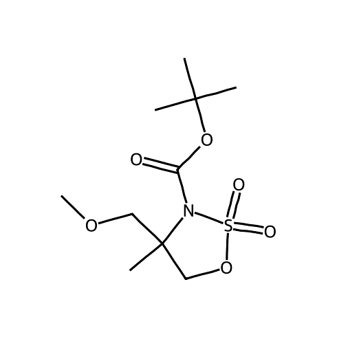 COCC1(C)COS(=O)(=O)N1C(=O)OC(C)(C)C